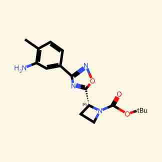 Cc1ccc(-c2noc([C@H]3CCN3C(=O)OC(C)(C)C)n2)cc1N